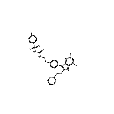 Cc1ccc(S(=O)(=O)NC(=O)NCCc2ccc(-n3c(CCc4cccnc4)nc4c(C)cc(C)nc43)cc2)cc1